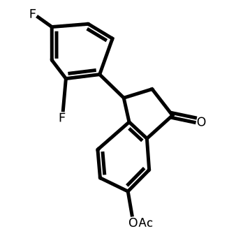 CC(=O)Oc1ccc2c(c1)C(=O)CC2c1ccc(F)cc1F